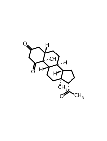 CC(=O)[C@H]1CC[C@H]2[C@@H]3CC[C@H]4CC(=O)CC(=O)[C@]4(C)[C@H]3CC[C@]12C